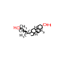 C[C@H](C=CCC(C)(C)O)[C@H]1CC[C@H]2C3=CC=C4C[C@@H](O)CC[C@]4(C)[C@H]3CC[C@]12C